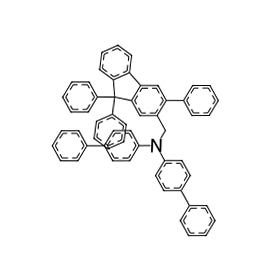 c1ccc(-c2ccc(N(Cc3cc4c(cc3-c3ccccc3)-c3ccccc3C4(c3ccccc3)c3ccccc3)c3ccc(-c4ccccc4)cc3)cc2)cc1